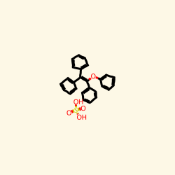 O=S(=O)(O)O.c1ccc(OC(=C(c2ccccc2)c2ccccc2)c2ccccc2)cc1